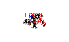 COCCCOc1cc(C([C@@H](C)C(=O)O)[C@H](O)[C@H](C[C@H](C)C(C)C)NC(=O)OC(C)(C)C)ccc1OC